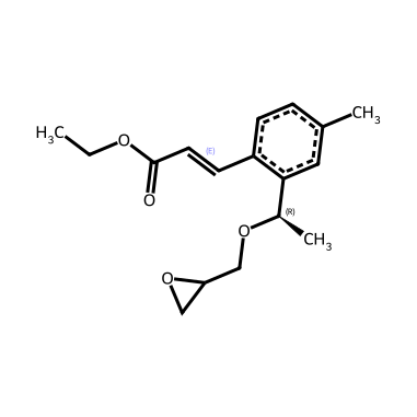 CCOC(=O)/C=C/c1ccc(C)cc1[C@@H](C)OCC1CO1